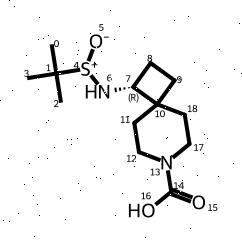 CC(C)(C)[S+]([O-])N[C@@H]1CCC12CCN(C(=O)O)CC2